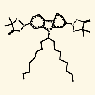 C=C1OB(c2ccc3c4ccc(B5OC(=C)C(C)(C)O5)cc4n(C(CCCCCCCC)CCCCCCCC)c3c2)OC1(C)C